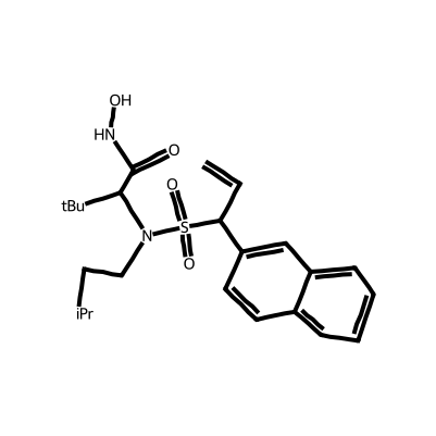 C=CC(c1ccc2ccccc2c1)S(=O)(=O)N(CCC(C)C)C(C(=O)NO)C(C)(C)C